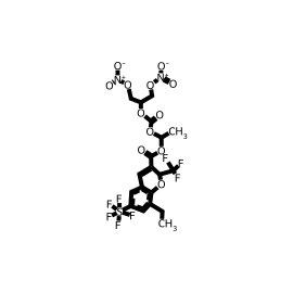 CCc1cc(S(F)(F)(F)(F)F)cc2c1OC(C(F)(F)F)C(C(=O)OC(C)OC(=O)OC(CO[N+](=O)[O-])CO[N+](=O)[O-])=C2